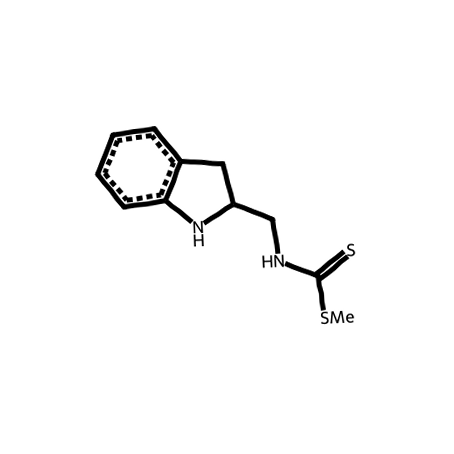 CSC(=S)NCC1Cc2ccccc2N1